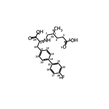 C[C@@H](CCC(=O)O)CNC(Cc1ccc(-c2ccc(F)cc2)cc1)C(=O)O